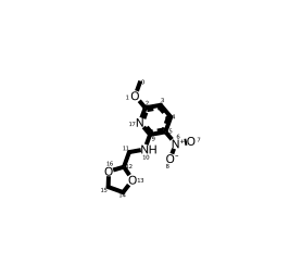 COc1ccc([N+](=O)[O-])c(NCC2OCCO2)n1